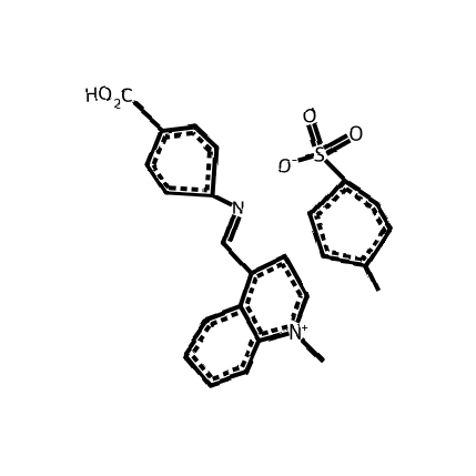 C[n+]1ccc(C=Nc2ccc(C(=O)O)cc2)c2ccccc21.Cc1ccc(S(=O)(=O)[O-])cc1